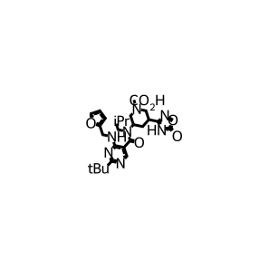 CC(C)CN(C(=O)c1cnc(C(C)(C)C)nc1NCc1ccco1)C1CC(c2noc(=O)[nH]2)CN(C(=O)O)C1